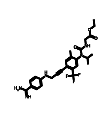 CCOC(=O)CNC(=O)N(c1cc(C(F)(F)F)c(C#CCNc2ccc(C(=N)N)cc2)cc1C)C(C)C